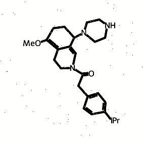 COC1=C2CCN(C(=O)Cc3ccc(C(C)C)cc3)C=C2C(N2CCNCC2)CC1